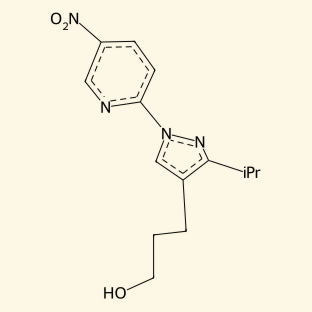 CC(C)c1nn(-c2ccc([N+](=O)[O-])cn2)cc1CCCO